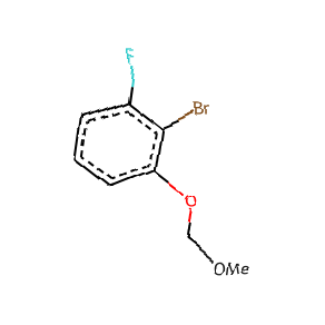 COCOc1cccc(F)c1Br